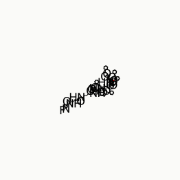 O=C(CCCCCNC(=O)c1ccc(F)nc1)NCCCCCC(=O)N[C@@H](CCC(=O)N[C@@H](CCCOP(=O)(N[C@@H](CCC(=O)OCc1ccccc1)C(=O)OCc1ccccc1)OCc1ccccc1)C(=O)OCc1ccccc1)C(=O)OCc1ccccc1